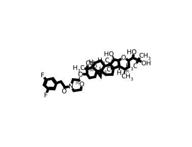 C[C@@H]1CC(C(O)C(C)(C)O)OC2[C@H]1C1(C)CCC34CC35CCC(O[C@H]3CN(C(=O)Cc6cc(F)cc(F)c6)CCO3)C(C)(C)[C@@H]5CCC4[C@]1(C)[C@H]2O